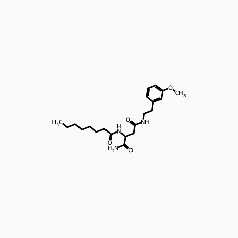 CCCCCCCC(=O)NC(CC(=O)NCCc1cccc(OC)c1)C(N)=O